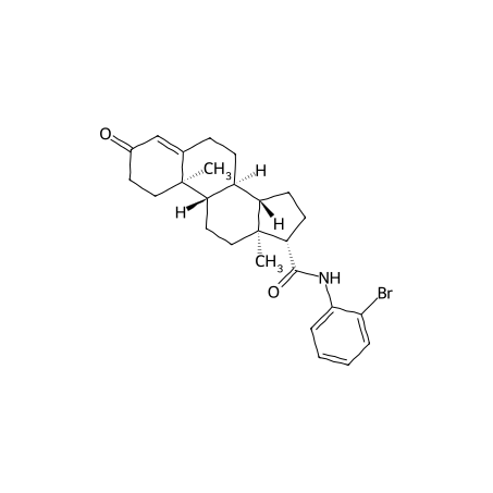 C[C@]12CC[C@H]3[C@@H](CCC4=CC(=O)CC[C@@]43C)[C@@H]1CC[C@@H]2C(=O)Nc1ccccc1Br